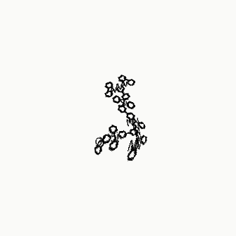 c1ccc([Si](c2ccccc2)(c2cccc(-c3cc(-n4c5ccccc5c5ccccc54)nc(-n4c5ccccc5c5ccccc54)c3)c2)c2cccc(-c3ccc4c(c3)nc3n(-c5cc(-c6ccc([Si](c7ccccc7)(c7ccccc7)c7ccc8oc9ccccc9c8c7)cc6)cc(-n6c7ccccc7n7c8ccccc8nc67)n5)c5ccccc5n43)c2)cc1